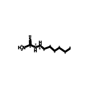 CCCCCCNNC(N)=S